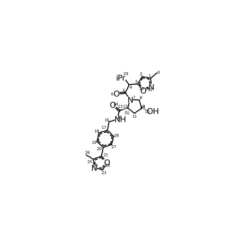 Cc1cc(C(C(=O)N2C[C@H](O)C[C@H]2C(=O)NCc2ccc(-c3ocnc3C)cc2)C(C)C)on1